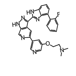 CN(C)CCOc1cncc(-c2cc3c(-c4nc5c(-c6ccccc6F)cccc5[nH]4)n[nH]c3cn2)c1